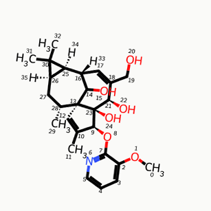 COc1cccnc1O[C@H]1C(C)=C[C@]23C(O)[C@@H](C=C(CO)[C@@H](O)[C@]12O)[C@H]1[C@@H](C[C@H]3C)C1(C)C